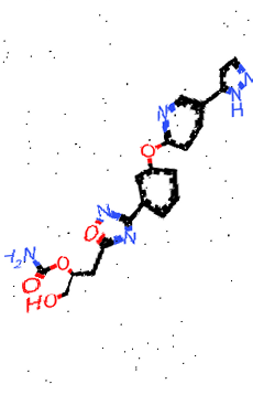 NC(=O)O[C@H](CO)Cc1nc(-c2cccc(Oc3ccc(-c4ccn[nH]4)cn3)c2)no1